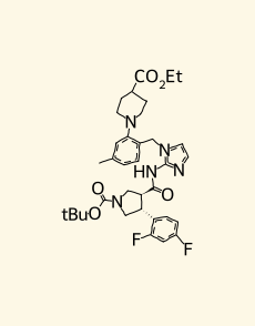 CCOC(=O)C1CCN(c2cc(C)ccc2Cn2ccnc2NC(=O)[C@@H]2CN(C(=O)OC(C)(C)C)C[C@H]2c2ccc(F)cc2F)CC1